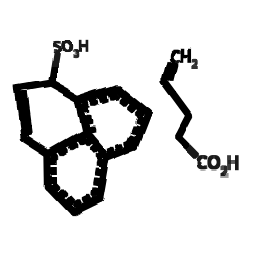 C=CCCC(=O)O.O=S(=O)(O)C1C=Cc2cccc3cccc1c23